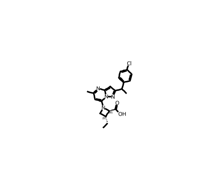 CC[C@@H]1CN(c2cc(C)nc3cc(C(C)c4ccc(Cl)cc4)nn23)[C@H]1C(=O)O